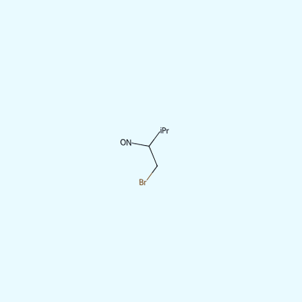 CC(C)C(CBr)N=O